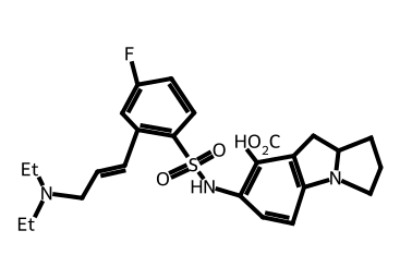 CCN(CC)CC=Cc1cc(F)ccc1S(=O)(=O)Nc1ccc2c(c1C(=O)O)CC1CCCN21